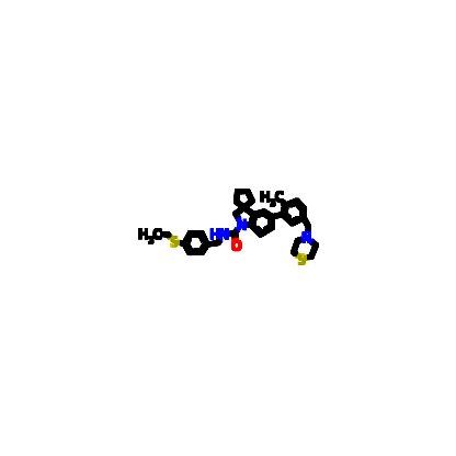 CCSc1ccc(CNC(=O)N2CC3(CCCC3)c3cc(-c4cc(CN5CCSCC5)ccc4C)ccc32)cc1